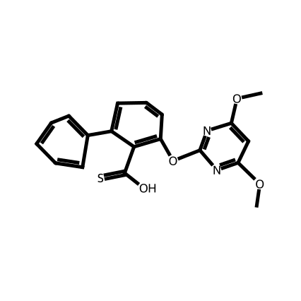 COc1cc(OC)nc(Oc2cccc(-c3ccccc3)c2C(O)=S)n1